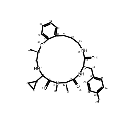 C[C@@H]1CNC(C2CC2)C(=O)N(C)[C@H](C)C(=O)N[C@H](Cc2ccc(F)cc2)C(=O)NCCCc2ccccc2O1